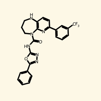 O=C(Nc1nnc(-c2ccccc2)o1)N1CCCNc2ccc(-c3cccc(C(F)(F)F)c3)nc21